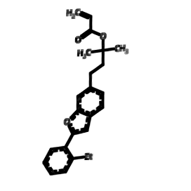 C=CC(=O)OC(C)(C)CCc1ccc2cc(-c3ccccc3CC)oc2c1